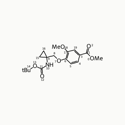 COC(=O)c1ccc(OCC2(NC(=O)OC(C)(C)C)CC2)c(OC)c1